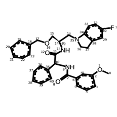 COc1cccc(C(=O)NC(C(=O)N[C@@H](COCc2ccccc2)CN2CCc3cc(F)ccc32)c2ccccc2)c1